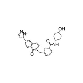 Cn1nccc1-c1ccc2c(=O)n(Cc3cccc(C(=O)N[C@H]4CC[C@H](O)CC4)c3)ccc2c1